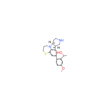 COc1ccc(-c2cc3c4c(c2)[C@@H]2CNCC[C@@H]2N4CCCS3)c(C(C)O)c1